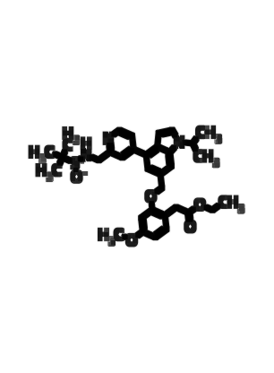 CCOC(=O)Cc1ccc(OC)cc1OCc1cc(-c2ccnc(CN[S+]([O-])C(C)(C)C)c2)c2ccn(C(C)C)c2c1